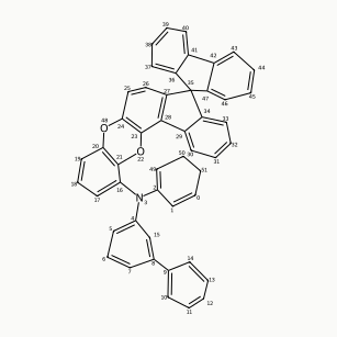 C1=CC(N(c2cccc(-c3ccccc3)c2)c2cccc3c2Oc2c(ccc4c2-c2ccccc2C42c4ccccc4-c4ccccc42)O3)=CCC1